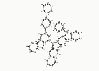 c1ccc(-c2ccc(-c3nc(-n4c5cc6ccccc6cc5c5cc6c7ccccc7n7c8ccccc8c(c54)c67)c4sc5ccccc5c4n3)cc2)cc1